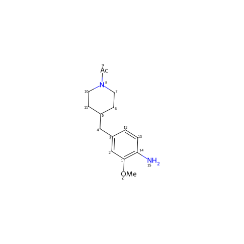 COc1cc(CC2CCN(C(C)=O)CC2)ccc1N